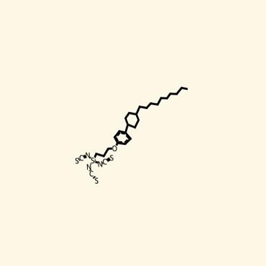 CCCCCCCCCCC1CCC(c2ccc(OCCC[Si](N=C=S)(N=C=S)N=C=S)cc2)CC1